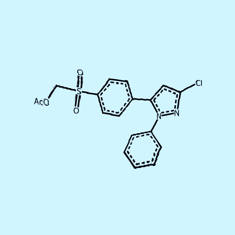 CC(=O)OCS(=O)(=O)c1ccc(-c2cc(Cl)nn2-c2ccccc2)cc1